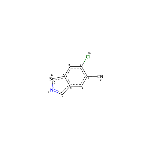 N#Cc1cc2cn[se]c2cc1Cl